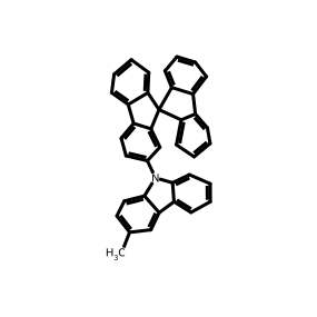 Cc1ccc2c(c1)c1ccccc1n2-c1ccc2c(c1)C1(c3ccccc3-c3ccccc31)c1ccccc1-2